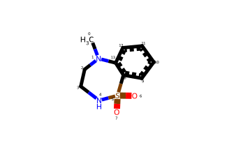 CN1CCNS(=O)(=O)c2ccccc21